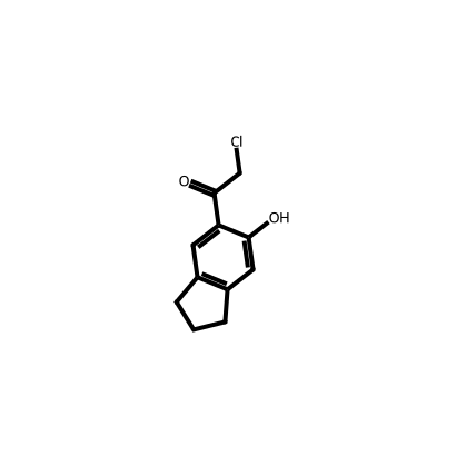 O=C(CCl)c1cc2c(cc1O)CCC2